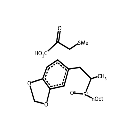 CCCCCCCC[S+]([O-])C(C)Cc1ccc2c(c1)OCO2.CSCC(=O)C(=O)O